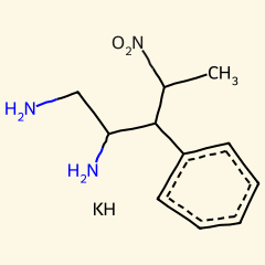 CC(C(c1ccccc1)C(N)CN)[N+](=O)[O-].[KH]